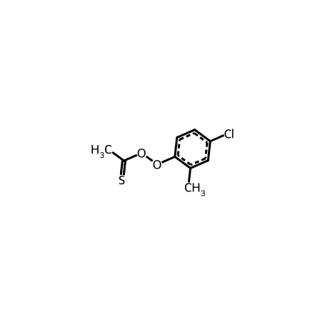 CC(=S)OOc1ccc(Cl)cc1C